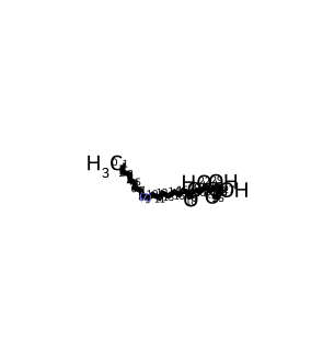 CCCCCCCC/C=C\CCCCCCCC(=O)OC[C@H](O)[C@H]1OC[C@H](O)[C@H]1O